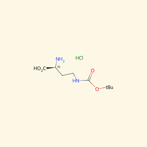 CC(C)(C)OC(=O)NCC[C@H](N)C(=O)O.Cl